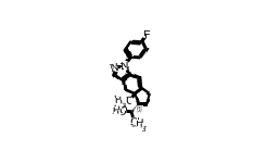 CC(O)[C@H]1CCC2=Cc3c(cnn3-c3ccc(F)cc3)CC21C